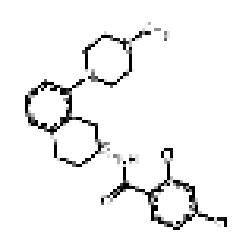 CN1CCN(c2cccc3c2C[C@H](NC(=O)c2ccc(Cl)cc2Cl)CC3)CC1